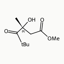 COC(=O)C[C@@](C)(O)C(=O)C(C)(C)C